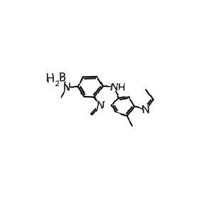 BN(C)c1ccc(Nc2ccc(C)c(/N=C\C)c2)c(N=C)c1